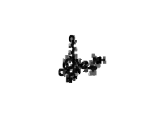 CNCC1(COc2nc3c4c(c(Cl)c(Br)c(F)c4n2)OCCN3CCCCC=O)CC1